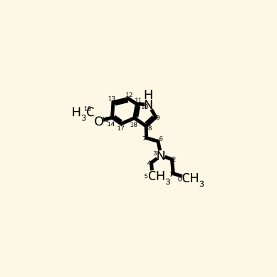 CCCN(CC)CCc1c[nH]c2ccc(OC)cc12